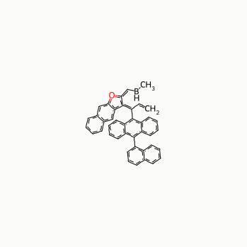 C=C/C(c1c2ccccc2c(-c2cccc3ccccc23)c2ccccc12)=c1\c(=C/BC)oc2cc3ccccc3cc12